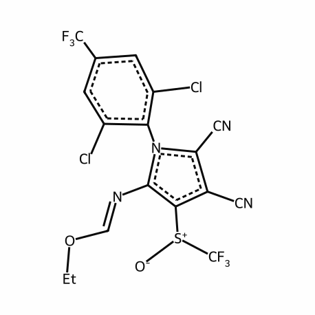 CCOC=Nc1c([S+]([O-])C(F)(F)F)c(C#N)c(C#N)n1-c1c(Cl)cc(C(F)(F)F)cc1Cl